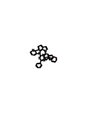 c1ccc(-c2cccc(-n3ccc4ccc5c6ncccc6n(-c6nc(-c7ccccc7)nc(-c7ccccc7)n6)c5c43)c2)cc1